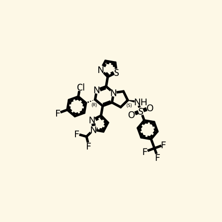 O=S(=O)(N[C@H]1CC2=C(c3ccn(C(F)F)n3)[C@H](c3ccc(F)cc3Cl)N=C(c3nccs3)N2C1)c1ccc(C(F)(F)F)cc1